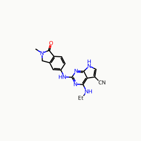 CCNc1nc(Nc2ccc3c(c2)CN(C)C3=O)nc2[nH]cc(C#N)c12